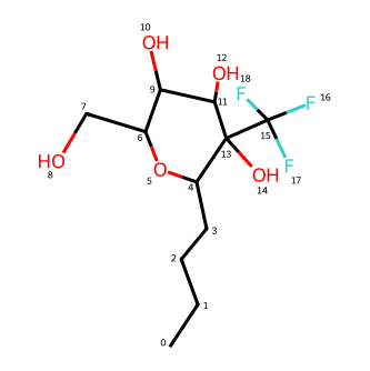 CCCCC1OC(CO)C(O)C(O)C1(O)C(F)(F)F